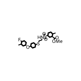 COC(=O)c1cc(S(=O)(=O)NCCSc2ccc(Oc3ccc(F)c(C)c3)cc2)ccc1C